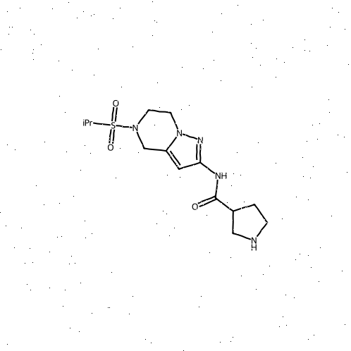 CC(C)S(=O)(=O)N1CCn2nc(NC(=O)C3CCNC3)cc2C1